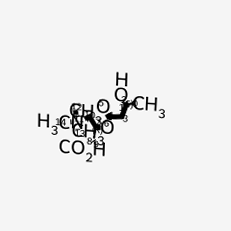 C[C@H](O)CC(=O)O[C@H](CC(=O)O)C[N+](C)(C)C